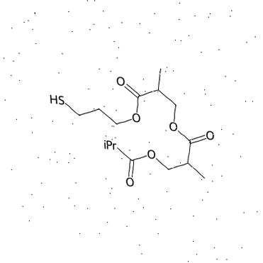 CC(C)C(=O)OCC(C)C(=O)OCC(C)C(=O)OCCCS